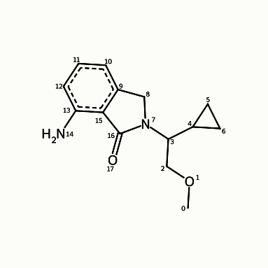 COCC(C1CC1)N1Cc2cccc(N)c2C1=O